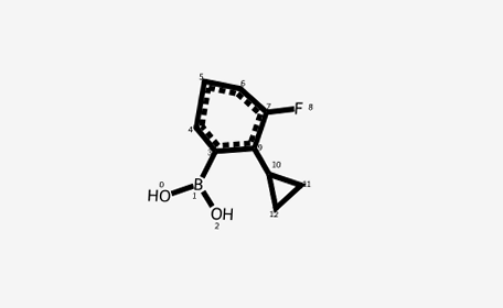 OB(O)c1cccc(F)c1C1CC1